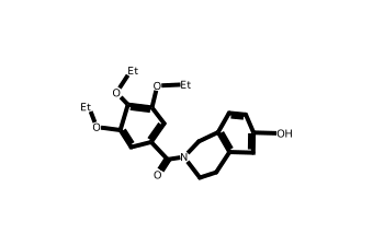 CCOc1cc(C(=O)N2CCc3cc(O)ccc3C2)cc(OCC)c1OCC